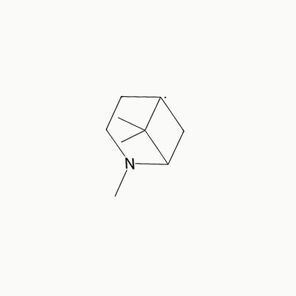 CN1CC[C]2CC1C2(C)C